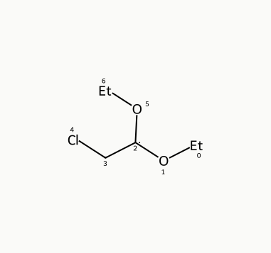 CCO[C](CCl)OCC